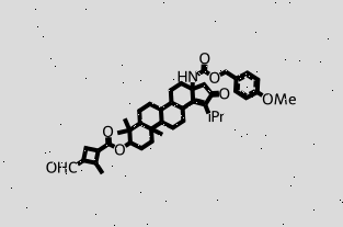 COc1ccc(COC(=O)NC23CCC4C(CCC5C4CCC4C(C)(C)C(OC(=O)C6CC(C=O)C6C)CCC54C)C2=C(C(C)C)C(=O)C3)cc1